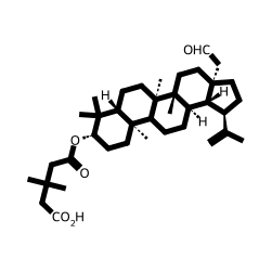 C=C(C)[C@@H]1CC[C@]2(CC=O)CC[C@]3(C)[C@H](CCC4[C@@]5(C)CC[C@H](OC(=O)CC(C)(C)CC(=O)O)C(C)(C)[C@@H]5CC[C@]43C)[C@@H]12